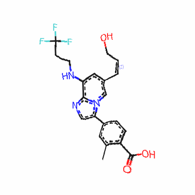 Cc1cc(-c2cnc3c(NCCC(F)(F)F)cc(/C=C\CO)cn23)ccc1C(=O)O